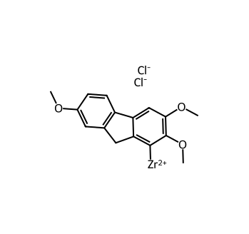 COc1ccc2c(c1)Cc1c-2cc(OC)c(OC)[c]1[Zr+2].[Cl-].[Cl-]